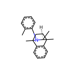 Cc1ccccc1N1[C@@H](C)C2(C)CCC1(C)c1ccccc12